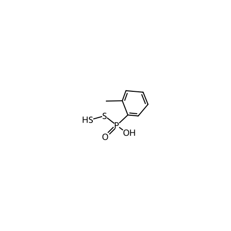 Cc1ccccc1P(=O)(O)SS